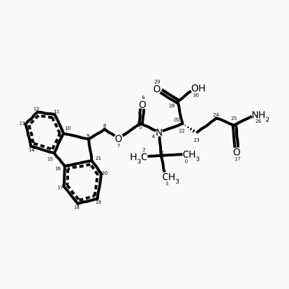 CC(C)(C)N(C(=O)OCC1c2ccccc2-c2ccccc21)[C@@H](CCC(N)=O)C(=O)O